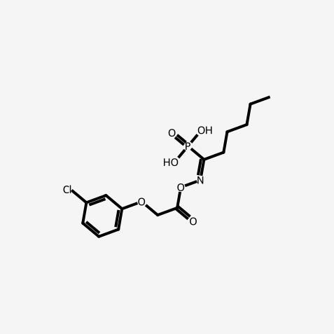 CCCCCC(=NOC(=O)COc1cccc(Cl)c1)P(=O)(O)O